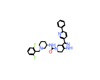 O=C(N[C@@H]1CCCN(Cc2c(F)cccc2F)C1)N1CCc2[nH]nc(-c3ccc(-c4ccccc4)nc3)c2C1